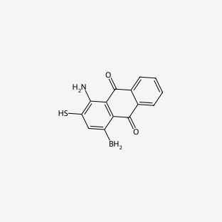 Bc1cc(S)c(N)c2c1C(=O)c1ccccc1C2=O